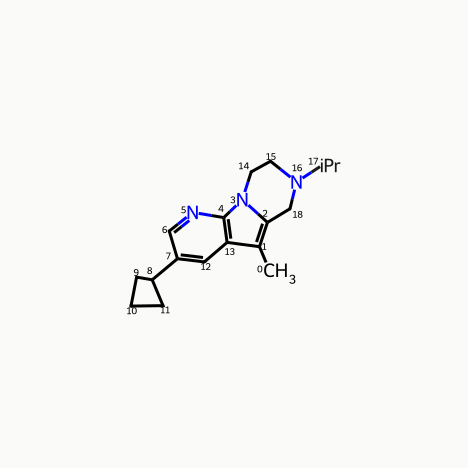 Cc1c2n(c3ncc(C4CCC4)cc13)CCN(C(C)C)C2